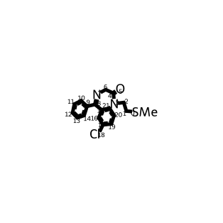 CSCCN1C(=O)CN=C(c2ccccc2)c2cc(Cl)ccc21